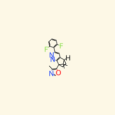 Cc1ncoc1C12CC[C@@H](c3cc(-c4c(F)cccc4F)nnc31)C2(C)C